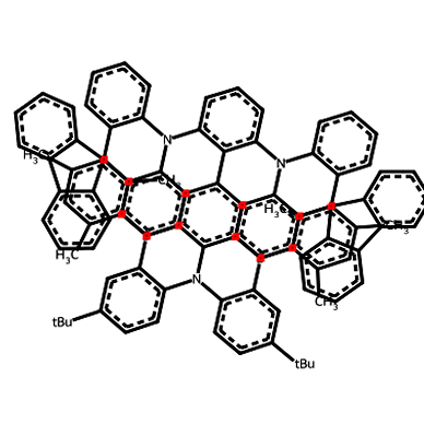 Cc1cc(C)c(B2c3cc(C(C)(C)C)ccc3N3c4ccc(C(C)(C)C)cc4B(c4c(C)cc(C)cc4C)c4cc(-c5c(N6c7ccccc7C7(c8ccccc8-c8ccccc87)c7ccccc76)cccc5N5c6ccccc6C6(c7ccccc7-c7ccccc76)c6ccccc65)cc2c43)c(C)c1